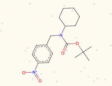 CC(C)(C)OC(=O)N(Cc1ccc([N+](=O)[O-])cc1)C1CCCCC1